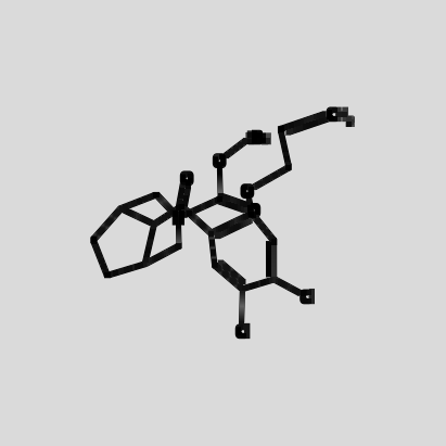 C=CCOc1cc(Cl)c(Cl)cc1C(=O)C1C2CCC1CN(C(=O)OC(C)(C)C)C2